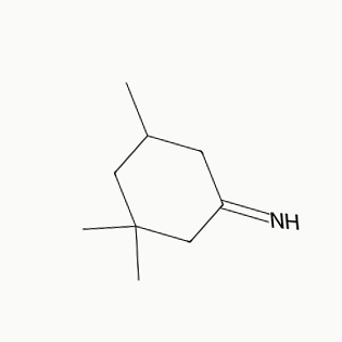 CC1CC(=N)CC(C)(C)C1